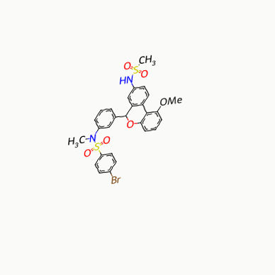 COc1cccc2c1-c1ccc(NS(C)(=O)=O)cc1C(c1cccc(N(C)S(=O)(=O)c3ccc(Br)cc3)c1)O2